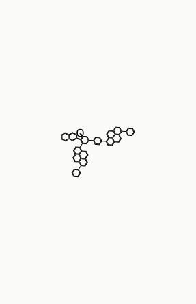 c1ccc(-c2ccc3ccc4c(-c5ccc(-c6cc(-c7ccc8ccc9c(-c%10ccccc%10)ccc%10ccc7c8c%109)c7c(c6)oc6cc8ccccc8cc67)cc5)ccc5ccc2c3c54)cc1